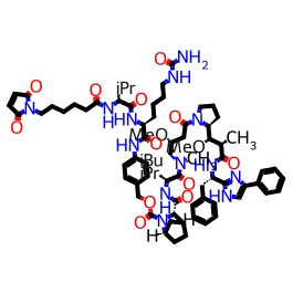 CC[C@H](C)[C@@H]([C@@H](CC(=O)N1CCC[C@H]1[C@H](OC)[C@@H](C)C(=O)N[C@@H](Cc1ccccc1)c1nc(-c2ccccc2)c[nH]1)OC)N(C)C(=O)[C@@H](NC(=O)[C@@H]1[C@H]2CC[C@H](C2)N1C(=O)OCc1ccc(NC(=O)[C@H](CCCCNC(N)=O)NC(=O)[C@@H](NC(=O)CCCCCN2C(=O)C=CC2=O)C(C)C)cc1)C(C)C